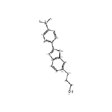 CN(C)c1ccc(-c2nc3ccc(SCCO)cc3s2)cc1